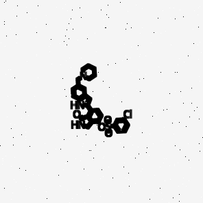 O=C1NCc2c(OS(=O)(=O)c3cccc(Cl)c3)ccc(-c3cc4cc(CN5CCCCC5)ccc4[nH]3)c21